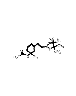 CC(=O)NC1(C)CCCC(CCB2OC(C)(C)C(C)(C)O2)C1